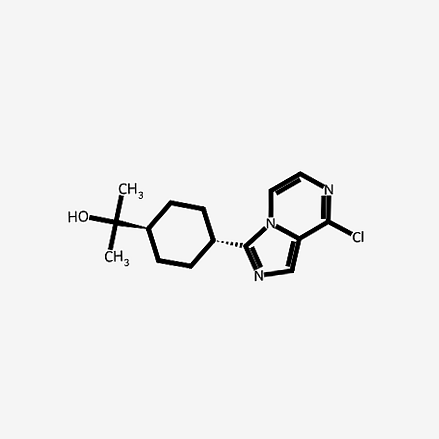 CC(C)(O)[C@H]1CC[C@H](c2ncc3c(Cl)nccn32)CC1